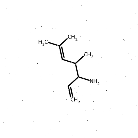 C=CC(N)C(C)C=C(C)C